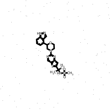 CC(C)(NS(C)(=O)=O)c1cc2nc(N3CCOC(c4cccc5[nH]ncc45)C3)ncc2s1